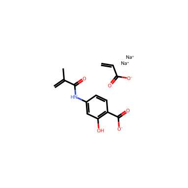 C=C(C)C(=O)Nc1ccc(C(=O)[O-])c(O)c1.C=CC(=O)[O-].[Na+].[Na+]